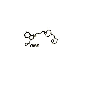 COC(=O)c1cn(CCCN2CCN(CC3CCCO3)CC2)c2ccccc12